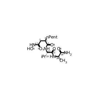 CCCCCC(CC(=O)NO)C(=O)N[C@H](C(=O)N[C@@H](C)C(N)=O)C(C)C